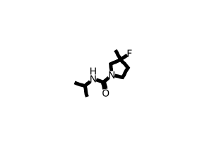 CC(C)NC(=O)N1CCC(C)(F)C1